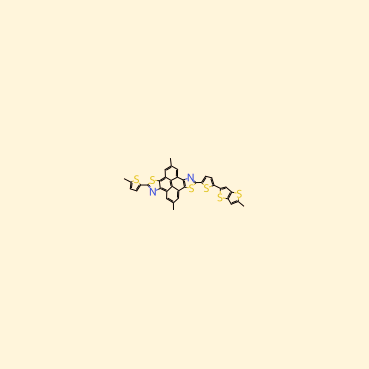 Cc1cc2c3nc(-c4ccc(C)s4)sc3c3cc(C)cc4c5nc(-c6ccc(-c7cc8sc(C)cc8s7)s6)sc5c(c1)c2c43